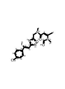 C/C(=C/C(=O)N(C)Cc1nc(/C=C(\F)c2ccc(Cl)cc2)no1)N(C)C=O